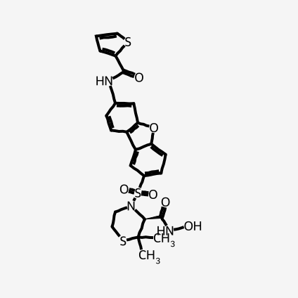 CC1(C)SCCN(S(=O)(=O)c2ccc3oc4cc(NC(=O)c5cccs5)ccc4c3c2)[C@H]1C(=O)NO